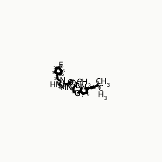 CC(C)C#Cc1ccc2c(n1)N(C)C(=O)[C@@H](NC(=O)c1n[nH]c(Cc3ccc(F)cc3)n1)CO2